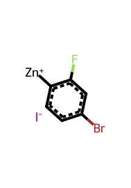 Fc1cc(Br)cc[c]1[Zn+].[I-]